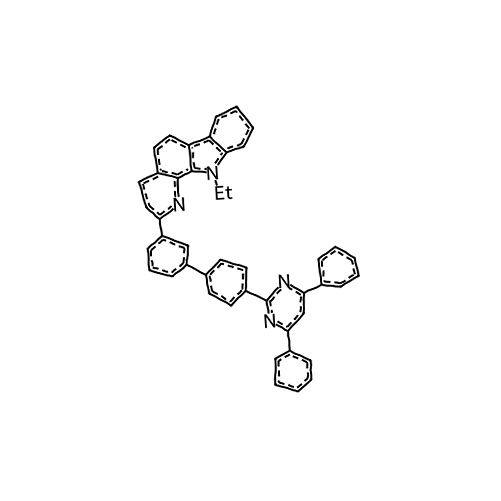 CCn1c2ccccc2c2ccc3ccc(-c4cccc(-c5ccc(-c6nc(-c7ccccc7)cc(-c7ccccc7)n6)cc5)c4)nc3c21